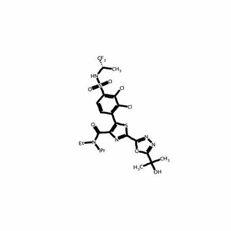 CCN(C(=O)c1nc(-c2nnc(C(C)(C)O)o2)sc1-c1ccc(S(=O)(=O)N[C@@H](C)C(F)(F)F)c(Cl)c1Cl)C(C)C